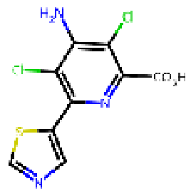 Nc1c(Cl)c(C(=O)O)nc(-c2cncs2)c1Cl